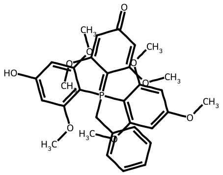 COC1=CC(=O)C=C(OC)C1=P(Cc1ccccc1)(c1c(OC)cc(O)cc1OC)c1c(OC)cc(OC)cc1OC